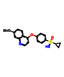 COc1ccc2c(Oc3ccc(S(=N)(=O)C4CC4)cc3)ccnc2c1